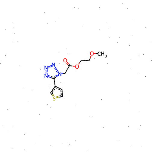 COCCOC(=O)Cn1nnnc1-c1ccsc1